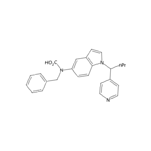 CCCC(c1ccncc1)n1ccc2cc(N(Cc3ccccc3)C(=O)O)ccc21